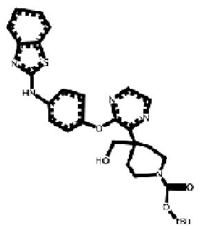 CC(C)(C)OC(=O)N1CCC(CO)(c2nccnc2Oc2ccc(Nc3nc4ccccc4s3)cc2)CC1